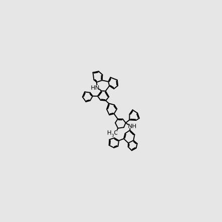 CC1CC(c2ccc(-c3cc(-c4ccccc4)c4c(c3)-c3ccccc3-c3ccccc3N4)cc2)=CC(Nc2cc(-c3ccccc3)c3ccccc3c2)(c2ccccc2)C1